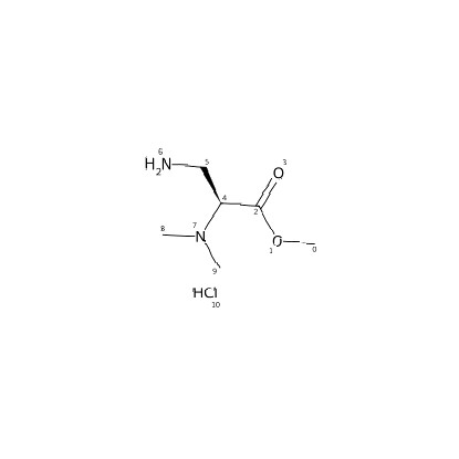 COC(=O)[C@H](CN)N(C)C.Cl